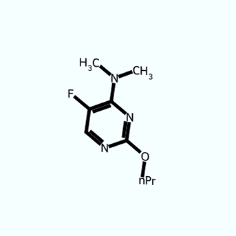 CCCOc1ncc(F)c(N(C)C)n1